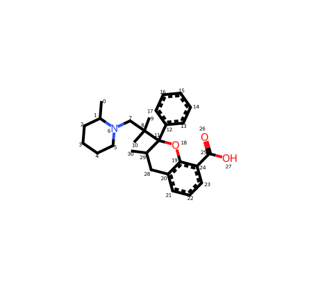 CC1CCCCN1CC(C)(C)C1(c2ccccc2)Oc2c(cccc2C(=O)O)CC1C